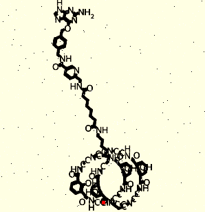 Nc1nc(OCc2ccc(CNC(=O)c3ccc(CNC(=O)CCCCCCC(=O)NCCCCC4CN5CCNC(=O)c6cccc(c6O)C(=O)NCCN(CCNC(=O)c6cccc(c6O)C(=O)N4)CCN4CCNC(=O)c6cccc(c6O)C(=O)NCCN(CCNC(=O)c6cccc(c6O)C(=O)NCC4)CC5)nc3)cc2)c2nc[nH]c2n1